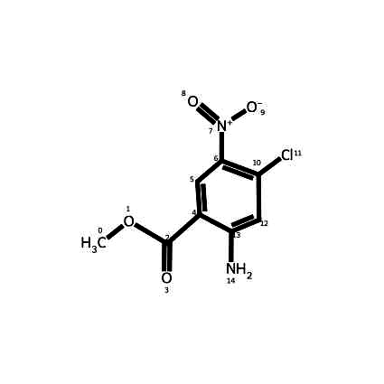 COC(=O)c1cc([N+](=O)[O-])c(Cl)cc1N